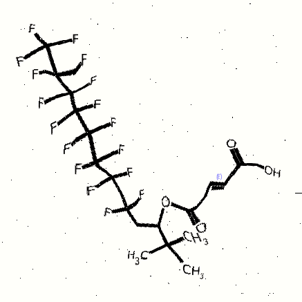 CC(C)(C)C(CC(F)(F)C(F)(F)C(F)(F)C(F)(F)C(F)(F)C(F)(F)C(F)(F)C(F)(F)F)OC(=O)/C=C/C(=O)O